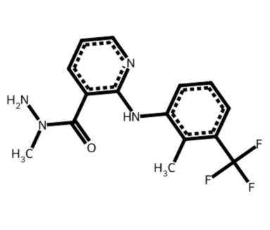 Cc1c(Nc2ncccc2C(=O)N(C)N)cccc1C(F)(F)F